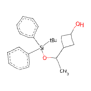 CC(O[Si](c1ccccc1)(c1ccccc1)C(C)(C)C)C1CC(O)C1